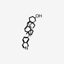 CC12CC=C3C=C4CCC(O)C[C@]45CC[C@]3(O5)[C@@H]1CC[C@@H]2c1ccc2ccncc2c1